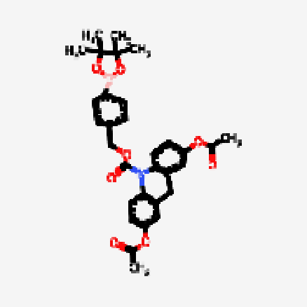 CC(=O)Oc1ccc2c(c1)Cc1cc(OC(C)=O)ccc1N2C(=O)OCc1ccc(B2OC(C)(C)C(C)(C)O2)cc1